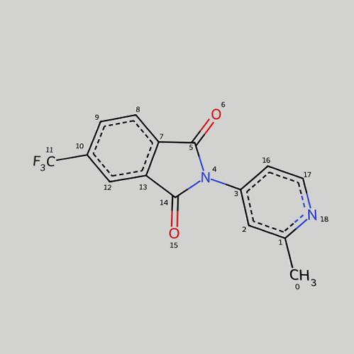 Cc1cc(N2C(=O)c3ccc(C(F)(F)F)cc3C2=O)ccn1